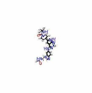 CC(=O)NCCn1cnc2ccc(Nc3ncnc4[nH]c(C5=CCN(C(=O)NC(C)(C)C)CC5)cc34)cc21